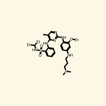 CCOc1cc(NCCCN(C)C)ccc1Nc1ncc(I)c(Nc2ccccc2S(=O)(=O)NC(CC)CC)n1